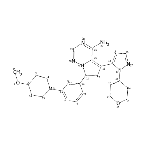 COC1CCN(c2cccc(-c3cc(-c4ccnn4C4CCOCC4)c4c(N)ncnn34)c2)CC1